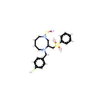 O=S(=O)(CC1CN(SI)CCCCN1Cc1ccc(F)cc1)c1ccccc1